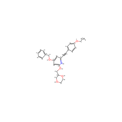 CCOc1ccc(C#Cc2cc(OCc3ccccc3)cc(OCC3COCCO3)n2)cc1